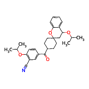 CC(C)Oc1ccc(C(=O)C2CCC3(CC2)CC(OC(C)C)c2ccccc2O3)cc1C#N